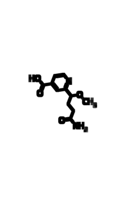 COC(CCC(N)=O)c1cc(C(=O)O)ccn1